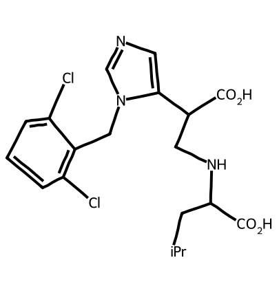 CC(C)CC(NCC(C(=O)O)c1cncn1Cc1c(Cl)cccc1Cl)C(=O)O